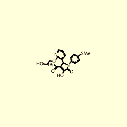 CSc1ccc(N2C(=O)C(O)=C(C(=O)C(C)(C)C)C2c2cccnc2OCCO)cc1